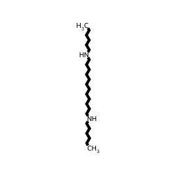 CCCCCCNCCCCCCCCCCCCNCCCCCC